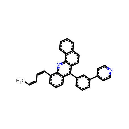 C/C=C\C=C/c1cccc2c(-c3cccc(-c4ccncc4)c3)c3ccc4ccccc4c3nc12